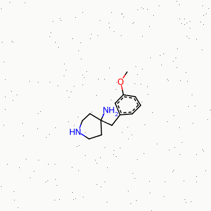 COc1cccc(CC2(N)CCNCC2)c1